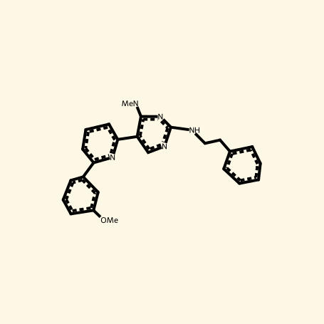 CNc1nc(NCCc2ccccc2)ncc1-c1cccc(-c2cccc(OC)c2)n1